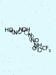 C[C@]1(O)CCN(c2ccc(C3(O)CCC(N4CCC5C4CCN5C(=O)CNC(=O)c4cccc(C(F)(F)F)c4)CC3)nc2)C1